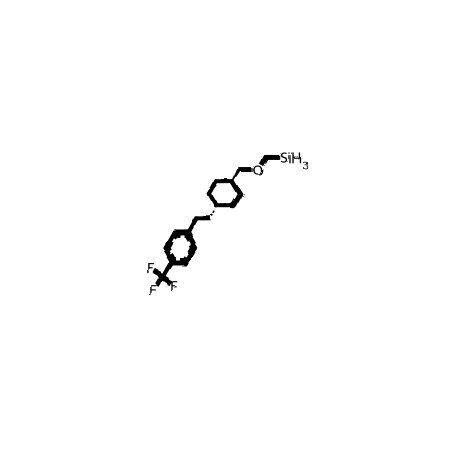 FC(F)(F)c1ccc(CC[C@H]2CC[C@H](COC[SiH3])CC2)cc1